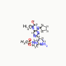 C=C/C(CNS(C)(=O)=O)=C(\C=C/N)c1ncc2c(n1)N(C1CCCC1)CC(=O)N2C